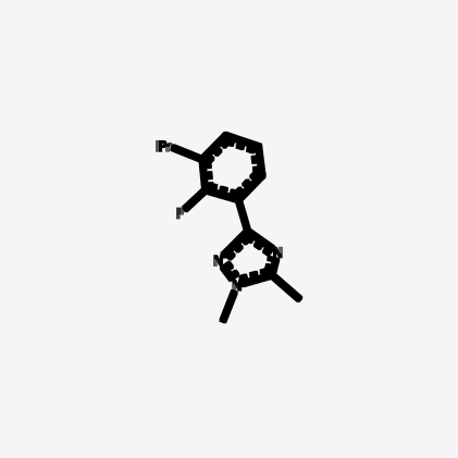 Cc1nc(-c2cccc(C(C)C)c2F)nn1C